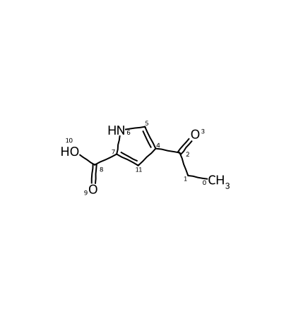 CCC(=O)c1c[nH]c(C(=O)O)c1